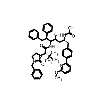 COc1cccc(-c2ccc(C[C@@H](C[C@H](O)[C@@H](NC(=O)[C@@H](N3CCN(Cc4ccccc4)C3=O)C(C)(C)C)C(Cc3ccccc3)c3ccccc3)NC(=O)O)cc2)n1